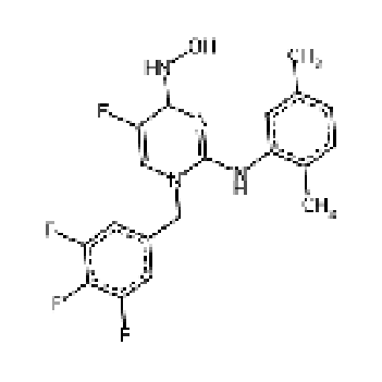 Cc1ccc(C)c(NC2=NC(NO)C(F)=CN2Cc2cc(F)c(F)c(F)c2)c1